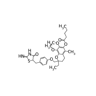 CCCCC(=O)Oc1c(C)c2c(c(OC)c1OC)OC(CC)(COc1ccc(CC3SC(=N)NC3=O)cc1)CC2